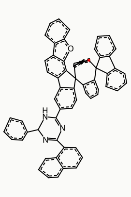 c1ccc(C2N=C(c3cccc4ccccc34)N=C(c3ccc4c(c3)-c3ccc5c(oc6ccccc65)c3C43c4ccccc4C4(c5ccccc5-c5ccccc54)c4ccccc43)N2)cc1